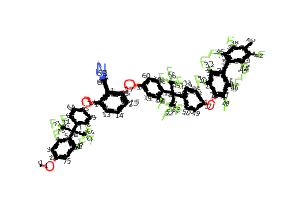 COc1ccc(C(c2ccc(Oc3cccc(Oc4ccc(C(c5ccc(Oc6c(F)c(F)c(-c7c(F)c(F)c(C)c(F)c7F)c(F)c6F)cc5)(C(F)(F)F)C(F)(F)F)cc4)c3C#N)cc2)(C(F)(F)F)C(F)(F)F)cc1